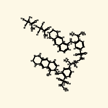 CNS(=O)(=O)c1ccc(N(C)C)c(Nc2ncnc3cc4c(cc23)OCCO4)c1.CNS(=O)(=O)c1ccc(N(C)C)cc1NN1C=NC2C=C3OCCOC3=CC2=C1Cl.O=C(O)C(F)(F)F.O=C(O)C(F)(F)F